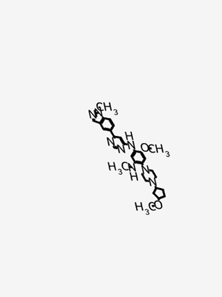 CNc1cc(Nc2cc(-c3ccc4c(cnn4C)c3)ncn2)c(OC)cc1N1CCN(C2CCC(OC)C2)CC1